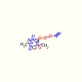 C=CC(=O)Nc1cccc(Nc2nc(Nc3cccc(OCCOCCOCCN=[N+]=[N-])c3)ncc2C)c1